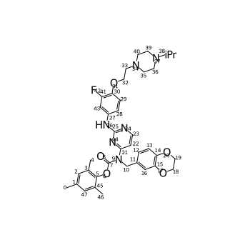 Cc1cc(C)c(OC(=O)N(Cc2ccc3c(c2)OCCO3)c2ccnc(Nc3ccc(OCCN4CCN(C(C)C)CC4)c(F)c3)n2)c(C)c1